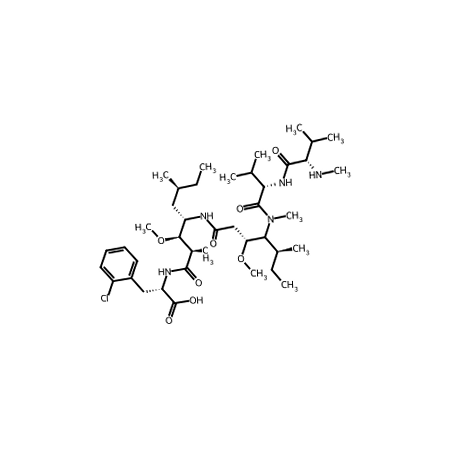 CC[C@H](C)C[C@H](NC(=O)C[C@@H](OC)C([C@@H](C)CC)N(C)C(=O)[C@@H](NC(=O)[C@@H](NC)C(C)C)C(C)C)[C@H](OC)[C@@H](C)C(=O)N[C@@H](Cc1ccccc1Cl)C(=O)O